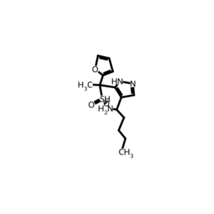 CCCCC(N)c1cn[nH]c1C(C)(c1ccco1)[SH](=O)=O